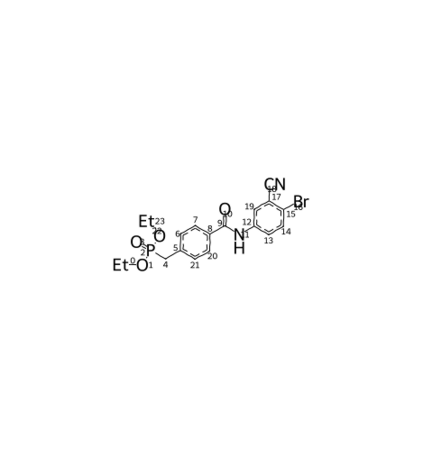 CCOP(=O)(Cc1ccc(C(=O)Nc2ccc(Br)c(C#N)c2)cc1)OCC